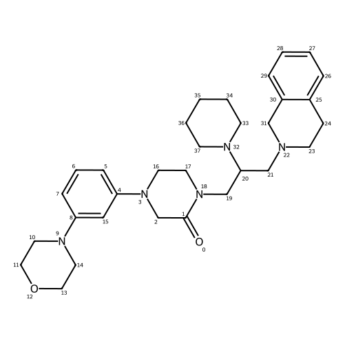 O=C1CN(c2cccc(N3CCOCC3)c2)CCN1CC(CN1CCc2ccccc2C1)N1CCCCC1